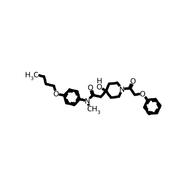 CCCCOc1ccc(N(C)C(=O)CC2(O)CCN(C(=O)COc3ccccc3)CC2)cc1